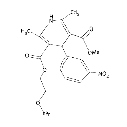 CCCOCCOC(=O)C1=C(C)NC(C)=C(C(=O)OC)C1c1cccc([N+](=O)[O-])c1